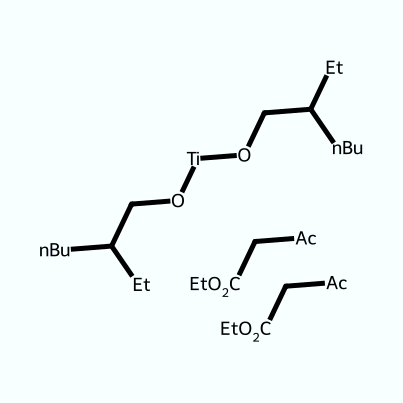 CCCCC(CC)C[O][Ti][O]CC(CC)CCCC.CCOC(=O)CC(C)=O.CCOC(=O)CC(C)=O